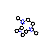 c1ccc(-c2cc(-c3cccc(-c4cccc(-c5nc(-c6ccccc6)nc(-c6ccc7c(c6)c6ccccc6n7-c6ccccc6)n5)c4)c3)nc(-c3ccccc3)n2)cc1